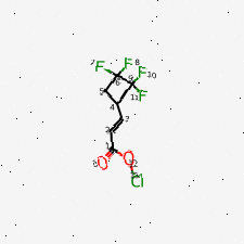 O=C(C=CC1CC(F)(F)C1(F)F)OCl